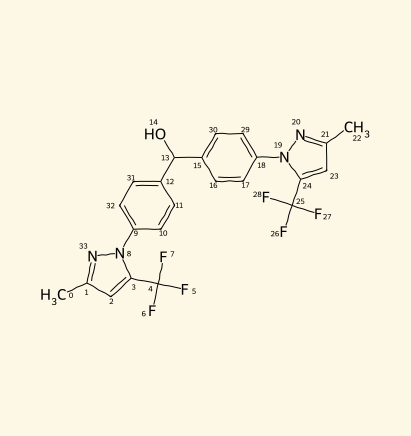 Cc1cc(C(F)(F)F)n(-c2ccc(C(O)c3ccc(-n4nc(C)cc4C(F)(F)F)cc3)cc2)n1